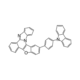 c1ccc2c(c1)nc1c3ccccc3c3oc4ccc(-c5ccc(-n6c7ccccc7c7ccccc76)cc5)cc4c3n21